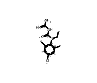 CCN(C(=O)NC(=N)N)c1c(C)cc(Cl)cc1C